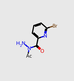 CC(=O)N(N)C(=O)c1cccc(Br)n1